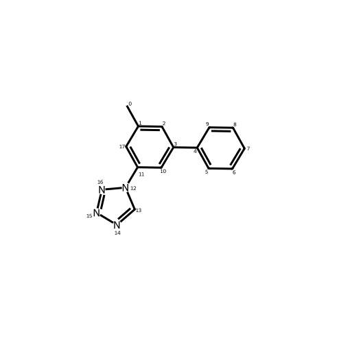 Cc1cc(-c2ccccc2)cc(-n2cnnn2)c1